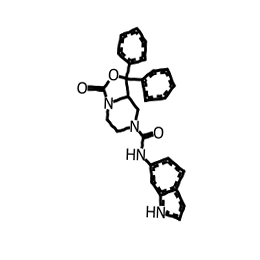 O=C(Nc1ccc2cc[nH]c2c1)N1CCN2C(=O)OC(c3ccccc3)(c3ccccc3)C2C1